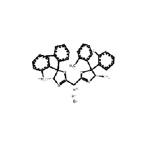 Cc1ccccc1C1(c2ccccc2C)OC(CC2=N[C@H](C)C(c3ccccc3C)(c3ccccc3C)O2)=N[C@@H]1C.[Br-].[Br-].[Ni+2]